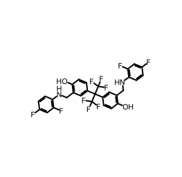 Oc1ccc(C(c2ccc(O)c(CNc3ccc(F)cc3F)c2)(C(F)(F)F)C(F)(F)F)cc1CNc1ccc(F)cc1F